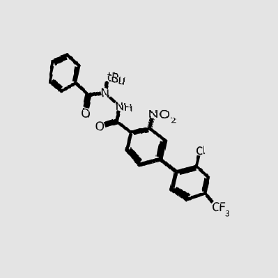 CC(C)(C)N(NC(=O)c1ccc(-c2ccc(C(F)(F)F)cc2Cl)cc1[N+](=O)[O-])C(=O)c1ccccc1